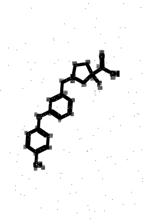 Cc1ccc(Oc2cccc(CN3CCC(F)(C(=O)O)C3)c2)cc1